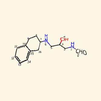 O=CNCC(O)CNC1CCc2ccccc2C1